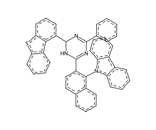 c1ccc(C2=NC(c3cccc4sc5ccccc5c34)NC(c3ccc4ccccc4c3-n3c4ccccc4c4ccccc43)=N2)cc1